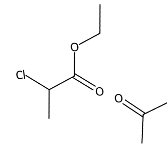 CC(C)=O.CCOC(=O)C(C)Cl